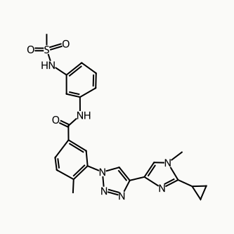 Cc1ccc(C(=O)Nc2cccc(NS(C)(=O)=O)c2)cc1-n1cc(-c2cn(C)c(C3CC3)n2)nn1